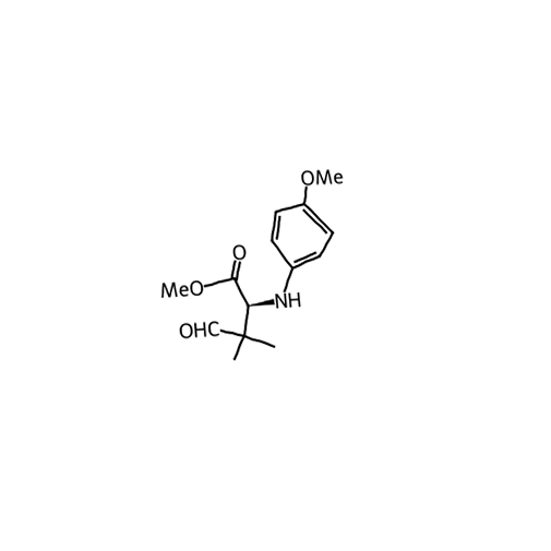 COC(=O)[C@@H](Nc1ccc(OC)cc1)C(C)(C)C=O